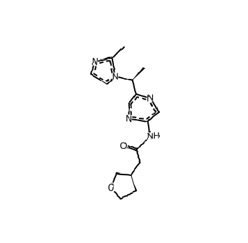 Cc1nccn1[C@@H](C)c1cnc(NC(=O)CC2CCOC2)cn1